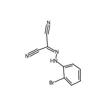 N#CC(C#N)=NNc1ccccc1Br